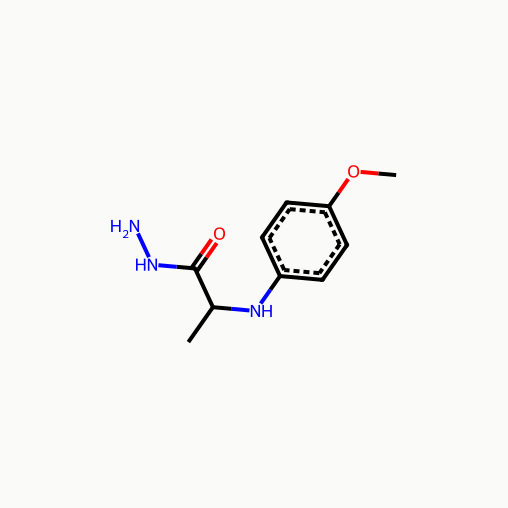 COc1ccc(NC(C)C(=O)NN)cc1